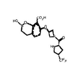 O=C(O)c1c(OC2CN(C(=O)[C@H]3C[C@@H](C(F)(F)F)CN3)C2)ccc2c1OB(O)CC2